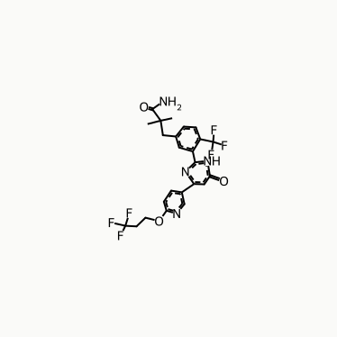 CC(C)(Cc1ccc(C(F)(F)F)c(-c2nc(-c3ccc(OCCC(F)(F)F)nc3)cc(=O)[nH]2)c1)C(N)=O